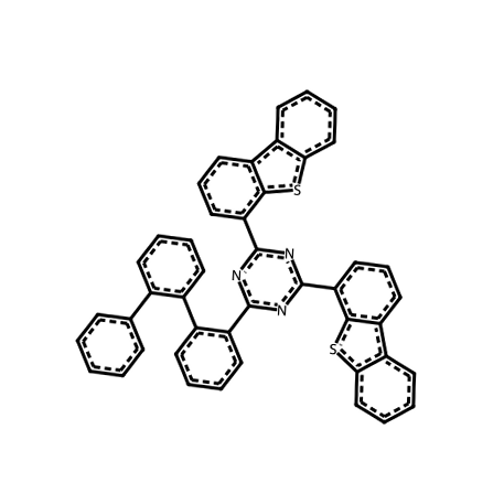 c1ccc(-c2ccccc2-c2ccccc2-c2nc(-c3cccc4c3sc3ccccc34)nc(-c3cccc4c3sc3ccccc34)n2)cc1